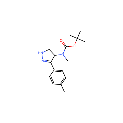 Cc1ccc(C2=NNCC2N(C)C(=O)OC(C)(C)C)cc1